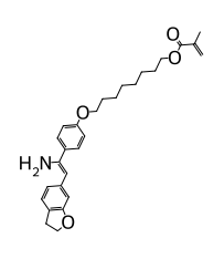 C=C(C)C(=O)OCCCCCCCCOc1ccc(/C(N)=C/c2ccc3c(c2)OCC3)cc1